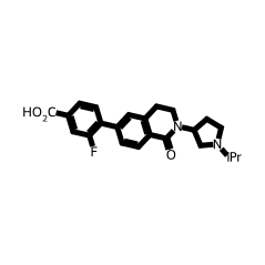 CC(C)N1CCC(N2CCc3cc(-c4ccc(C(=O)O)cc4F)ccc3C2=O)C1